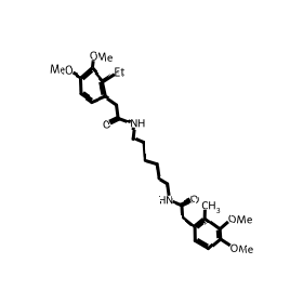 CCc1c(CC(=O)NCCCCCCNC(=O)Cc2ccc(OC)c(OC)c2C)ccc(OC)c1OC